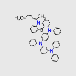 C=C/C=C\C=C(/C)N1c2ccccc2B2c3cc(N(c4ccccc4)c4cccc(N(c5ccccc5)c5ccccc5)c4)ccc3N(c3ccccc3)c3cccc1c32